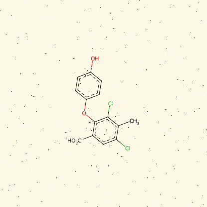 Cc1c(Cl)cc(C(=O)O)c(Oc2ccc(O)cc2)c1Cl